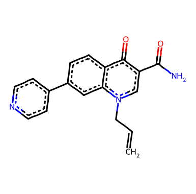 C=CCn1cc(C(N)=O)c(=O)c2ccc(-c3ccncc3)cc21